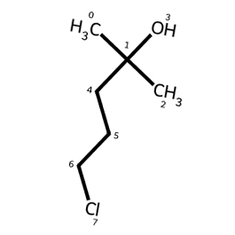 CC(C)(O)CCCCl